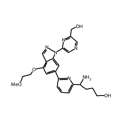 COCCOc1cc(-c2cccc(C(N)CCCO)n2)cc2c1cnn2-c1cncc(CO)n1